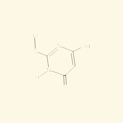 CCSc1nc(O)cc(=O)n1CC